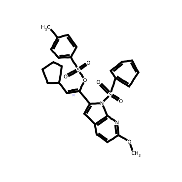 COc1ccc2cc(/C(=C/C3CCCC3)OS(=O)(=O)c3ccc(C)cc3)n(S(=O)(=O)c3ccccc3)c2n1